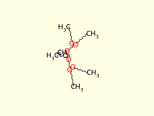 CCCCCCCCOC(CCCOc1cc(CN(C)C)cc(OCCCC(OCCCCCCCC)OCCCCCCCC)c1)OCCCCCCCC